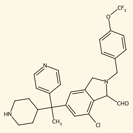 CC(c1ccncc1)(c1cc(Cl)c2c(c1)CN(Cc1ccc(OC(F)(F)F)cc1)C2C=O)C1CCNCC1